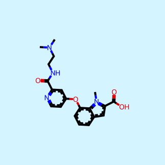 CN(C)CCNC(=O)c1cc(Oc2cccc3cc(C(=O)O)n(C)c23)ccn1